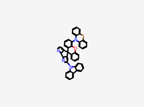 c1ccc2c(c1)Oc1c(N3c4ccccc4Sc4ccccc43)cccc1C21c2cccnc2-c2ncc(-n3c4ccccc4c4ccccc43)cc21